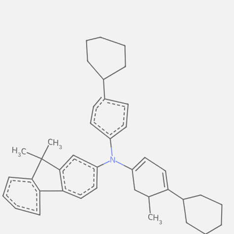 CC1CC(N(c2ccc(C3CCCCC3)cc2)c2ccc3c(c2)C(C)(C)c2ccccc2-3)=CC=C1C1CCCCC1